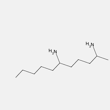 CCCCCC(N)CCCC(C)N